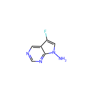 Nn1cc(F)c2cncnc21